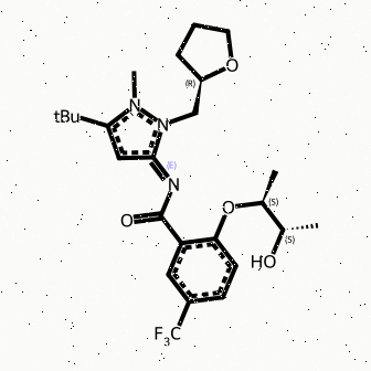 C[C@H](O)[C@H](C)Oc1ccc(C(F)(F)F)cc1C(=O)/N=c1\cc(C(C)(C)C)n(C)n1C[C@H]1CCCO1